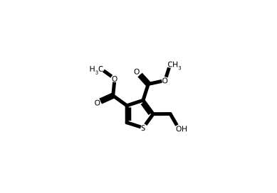 COC(=O)c1csc(CO)c1C(=O)OC